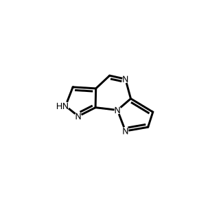 c1cc2ncc3c[nH]nc3n2n1